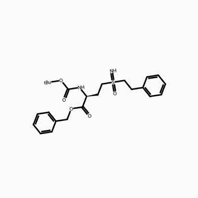 CC(C)(C)OC(=O)N[C@@H](CCS(=N)(=O)CCc1ccccc1)C(=O)OCc1ccccc1